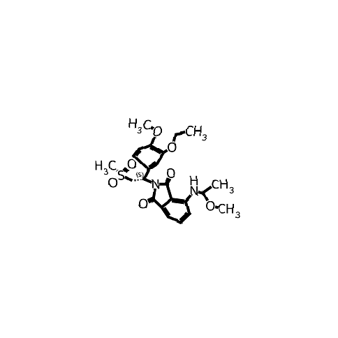 CCOc1cc([C@@H](CS(C)(=O)=O)N2C(=O)c3cccc(NC(C)OC)c3C2=O)ccc1OC